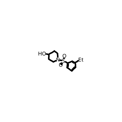 CCc1cccc(S(=O)(=O)N2CCC(O)CC2)c1